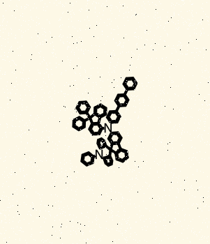 c1ccc(-c2ccc(-c3ccc(N(c4ccc5c(c4)C4(c6ccccc6-5)c5ccccc5N(c5ccccc5)c5ccccc54)c4cccc5c4-c4ccccc4C5(c4ccccc4)c4ccccc4)cc3)cc2)cc1